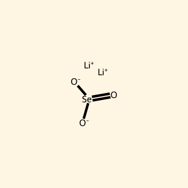 O=[Se]([O-])[O-].[Li+].[Li+]